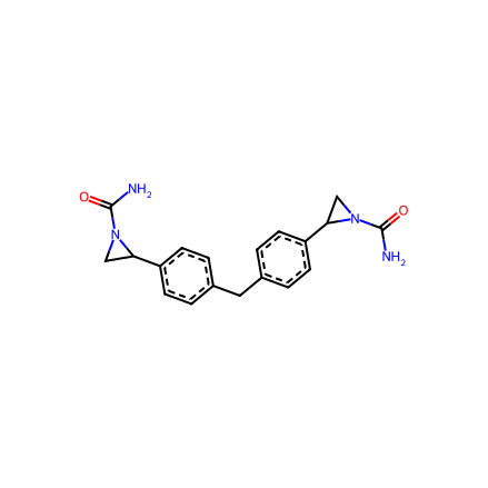 NC(=O)N1CC1c1ccc(Cc2ccc(C3CN3C(N)=O)cc2)cc1